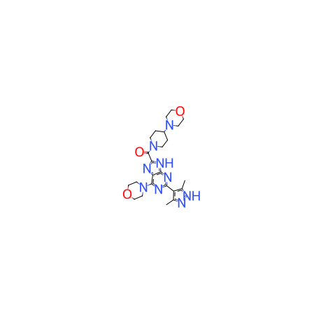 Cc1n[nH]c(C)c1-c1nc(N2CCOCC2)c2nc(C(=O)N3CCC(N4CCOCC4)CC3)[nH]c2n1